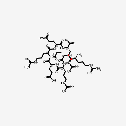 N=C(N)NCCC[C@H](NC(=O)[C@H](CCC(=O)O)NC(=O)[C@H](CCCNC(=N)N)NC(=O)[C@H](CCC(=O)O)NC(=O)[C@H](CCCNC(=N)N)NC(=O)[C@H](CCC(=O)O)NC(=O)[C@@H](N)CCCNC(=N)N)C(=O)O